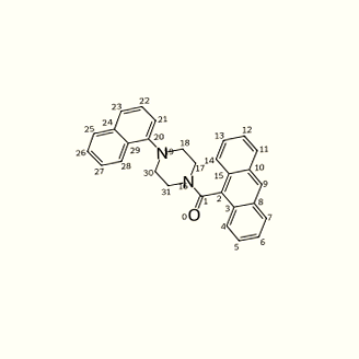 O=C(c1c2ccccc2cc2ccccc12)N1CCN(c2cccc3ccccc23)CC1